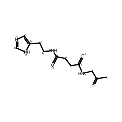 CC(=O)CNC(=O)CCC(=O)NCCc1cnc[nH]1